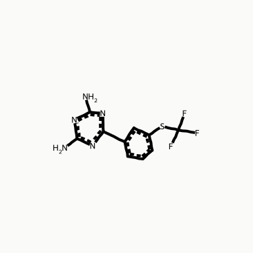 Nc1nc(N)nc(-c2cccc(SC(F)(F)F)c2)n1